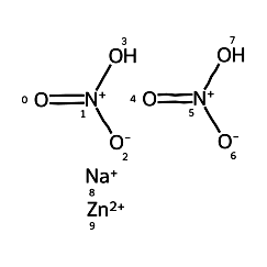 O=[N+]([O-])O.O=[N+]([O-])O.[Na+].[Zn+2]